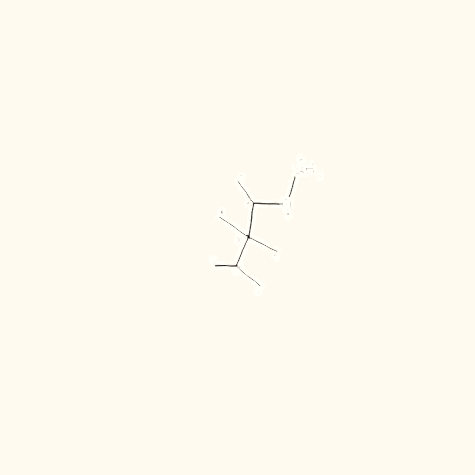 C[C](C)C(C)(C)C(C)O[SiH3]